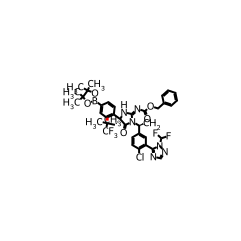 [CH2][C@@H](c1ccc(Cl)c(-c2ncnn2C(F)F)c1)N1C(=O)[C@@](CC(C)(C)C(F)(F)F)(c2ccc(B3OC(C)(C)C(C)(C)O3)cc2)N/C1=N/C(=O)OCc1ccccc1